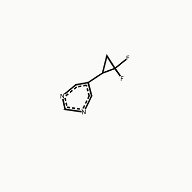 FC1(F)CC1c1cn[c]nc1